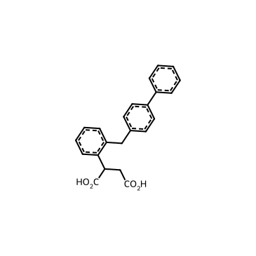 O=C(O)CC(C(=O)O)c1ccccc1Cc1ccc(-c2ccccc2)cc1